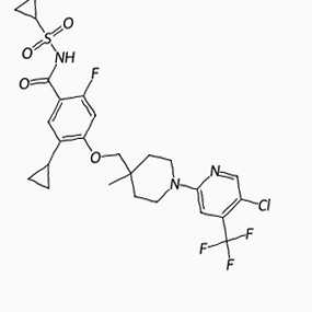 CC1(COc2cc(F)c(C(=O)NS(=O)(=O)C3CC3)cc2C2CC2)CCN(c2cc(C(F)(F)F)c(Cl)cn2)CC1